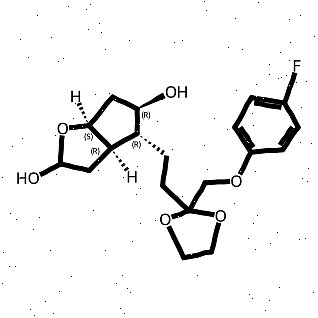 OC1C[C@@H]2[C@@H](CCC3(COc4ccc(F)cc4)OCCO3)[C@H](O)C[C@@H]2O1